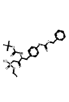 CCOP(=O)(O)CC(=O)C(Cc1ccc(NC(=O)OCc2ccccc2)cc1)NC(=O)OC(C)(C)C